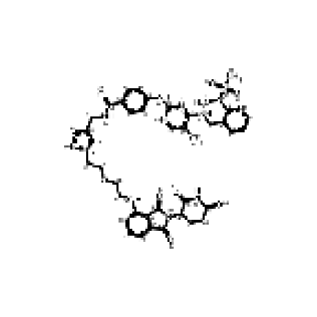 CN(c1ncccc1CNc1nc(Nc2ccc(C(=O)NCc3cn(CCOCCNc4cccc5c4C(=O)N(C4CCC(=O)NC4=O)C5=O)nn3)cc2)ncc1C(F)(F)F)S(C)(=O)=O